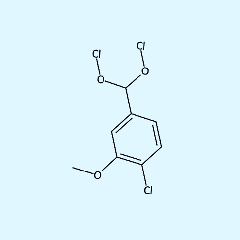 COc1cc(C(OCl)OCl)ccc1Cl